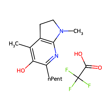 CCCCCc1nc2c(c(C)c1O)CCN2C.O=C(O)C(F)(F)F